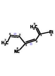 C=C(/C=C(C#N)\C=C/C)CC